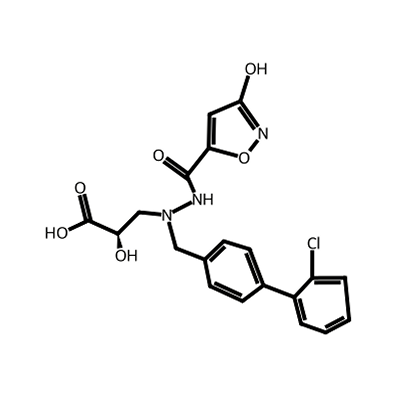 O=C(NN(Cc1ccc(-c2ccccc2Cl)cc1)C[C@@H](O)C(=O)O)c1cc(O)no1